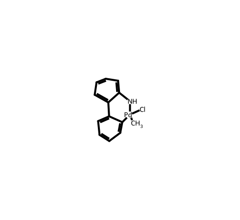 [CH3][Pd]1([Cl])[NH]c2ccccc2-c2cccc[c]21